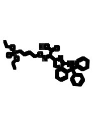 CCOP(=O)(C/C=C/CO/N=C(\C(=O)O)c1csc(NC(c2ccccc2)(c2ccccc2)c2ccccc2)n1)OCC